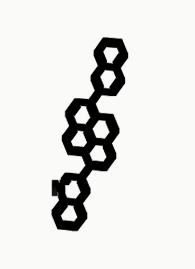 c1ccc2cc(-c3ccc4ccc5c(-c6cnc7ccccc7c6)ccc6ccc3c4c65)ccc2c1